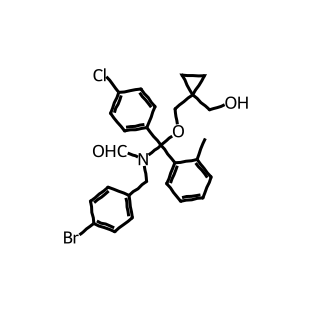 Cc1ccccc1C(OCC1(CO)CC1)(c1ccc(Cl)cc1)N(C=O)Cc1ccc(Br)cc1